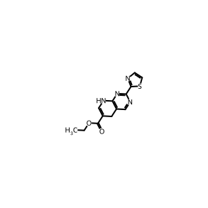 CCOC(=O)C1=CNc2nc(-c3nccs3)ncc2C1